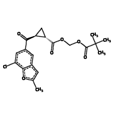 Cc1cc2cc(C(=O)[C@H]3C[C@@H]3C(=O)OCOC(=O)C(C)(C)C)cc(Cl)c2o1